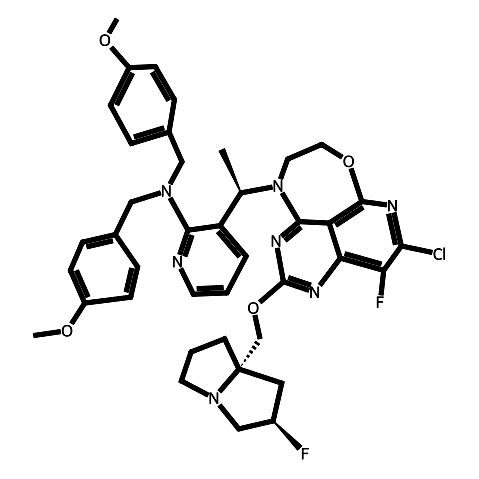 COc1ccc(CN(Cc2ccc(OC)cc2)c2ncccc2[C@@H](C)N2CCOc3nc(Cl)c(F)c4nc(OC[C@@]56CCCN5C[C@H](F)C6)nc2c34)cc1